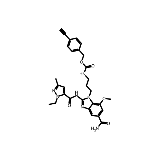 C#Cc1ccc(COC(=O)NCCCn2c(NC(=O)c3cc(C)nn3CC)nc3cc(C(N)=O)cc(OC)c32)cc1